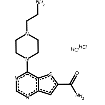 Cl.Cl.NCCN1CCN(c2ncnc3cc(C(N)=O)sc23)CC1